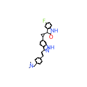 CN(C)Cc1ccc(/C=C/c2n[nH]c3cc(C4CC4C4C(=O)Nc5ccc(F)cc54)ccc23)cc1